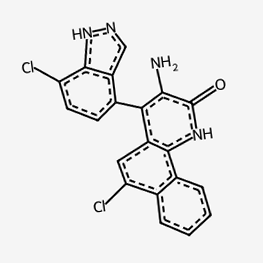 Nc1c(-c2ccc(Cl)c3[nH]ncc23)c2cc(Cl)c3ccccc3c2[nH]c1=O